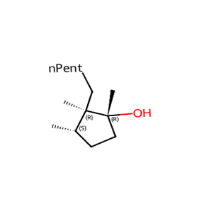 CCCCCC[C@]1(C)[C@@H](C)CC[C@@]1(C)O